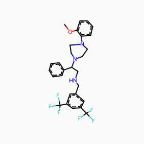 COc1ccccc1N1CCN(C(CNCc2cc(C(F)(F)F)cc(C(F)(F)F)c2)c2ccccc2)CC1